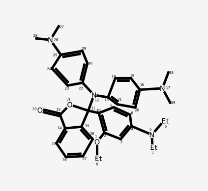 CCOc1cc(N(CC)CC)ccc1C1(N(c2ccc(N(C)C)cc2)c2ccc(N(C)C)cc2)OC(=O)c2ccccc21